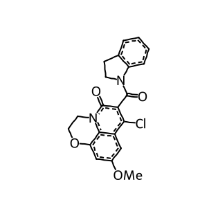 COc1cc2c3c(c1)c(Cl)c(C(=O)N1CCc4ccccc41)c(=O)n3CCO2